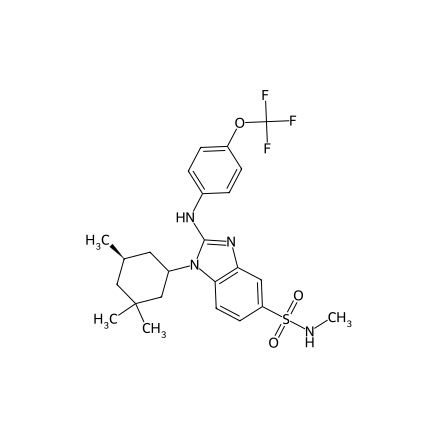 CNS(=O)(=O)c1ccc2c(c1)nc(Nc1ccc(OC(F)(F)F)cc1)n2C1C[C@H](C)CC(C)(C)C1